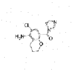 Nc1c(Cl)cc(C(=O)n2ccnc2)c2c1CCCO2